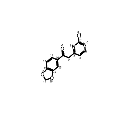 O=C(Cc1ccnc(Cl)n1)c1ccc2c(c1)OCO2